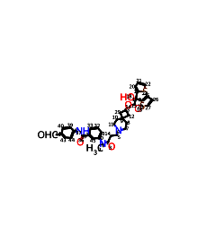 CN(C(=O)CCN1CCC2(CC1)CC(OC(=O)C(O)(c1cccs1)c1cccs1)C2)c1cccc(C(=O)Nc2ccc(C=O)cc2)c1